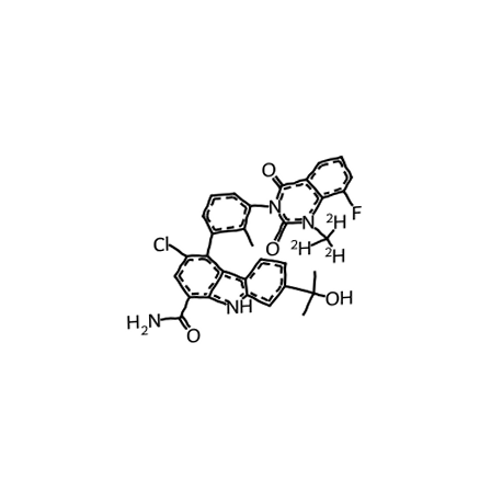 [2H]C([2H])([2H])n1c(=O)n(-c2cccc(-c3c(Cl)cc(C(N)=O)c4[nH]c5cc(C(C)(C)O)ccc5c34)c2C)c(=O)c2cccc(F)c21